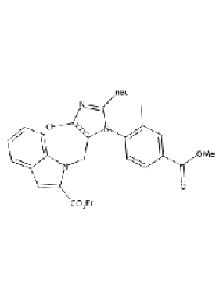 CCCCc1nc(Cl)c(Cn2c(C(=O)OCC)cc3ccccc32)n1-c1ccc(C(=O)OC)cc1C